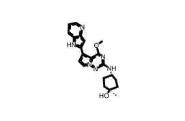 COc1nc(N[C@H]2CC[C@](C)(O)CC2)nn2ccc(-c3cc4ncccc4[nH]3)c12